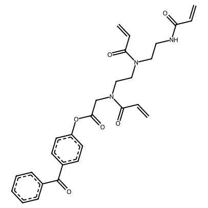 C=CC(=O)NCCN(CCN(CC(=O)Oc1ccc(C(=O)c2ccccc2)cc1)C(=O)C=C)C(=O)C=C